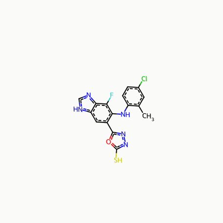 Cc1cc(Cl)ccc1Nc1c(-c2nnc(S)o2)cc2[nH]cnc2c1F